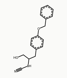 N#CBC(CO)Cc1ccc(OCc2ccccc2)cc1